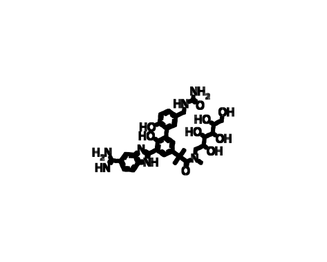 CN(CC(O)C(O)C(O)C(O)CO)C(=O)C(C)(C)c1cc(-c2nc3cc(C(=N)N)ccc3[nH]2)c(O)c(-c2cc(CNC(N)=O)ccc2O)c1